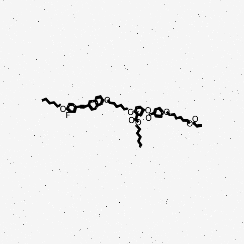 C=CC(=O)OCCCCCCOc1ccc(C(=O)Oc2ccc(OCCCCCCOc3ccc4c(c3)CC=C(C#Cc3ccc(OCCCCCC)c(F)c3)C4)c(C(=O)OCCCCCCC)c2)cc1